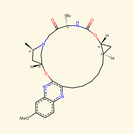 COc1ccc2nc3c(nc2c1)O[C@@H]1C[C@@H](C)N(CC(=O)[C@H](C(C)(C)C)NC(=O)O[C@@H]2C[C@H]2CCCCC3)C1